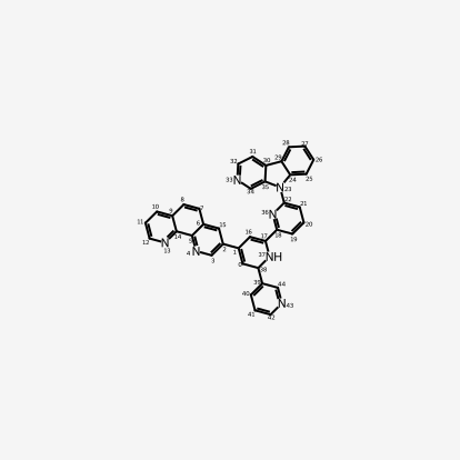 C1=C(c2cnc3c(ccc4cccnc43)c2)C=C(c2cccc(-n3c4ccccc4c4ccncc43)n2)NC1c1cccnc1